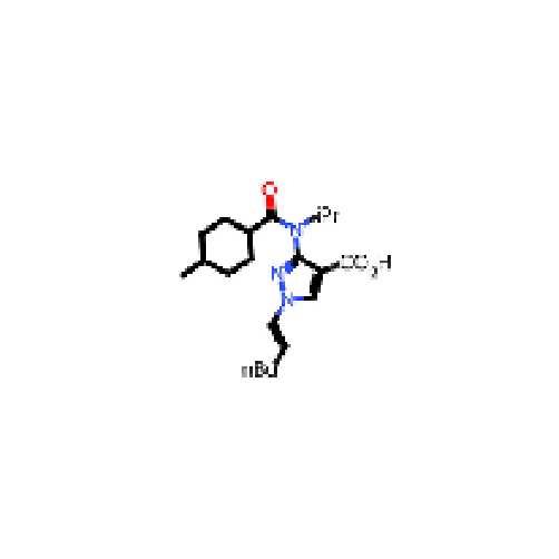 CCCCC=Cn1cc(C(=O)O)c(N(C(=O)C2CCC(C)CC2)C(C)C)n1